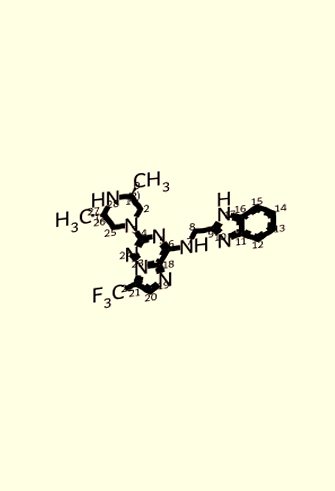 C[C@@H]1CN(c2nc(NCc3nc4ccccc4[nH]3)c3ncc(C(F)(F)F)n3n2)C[C@H](C)N1